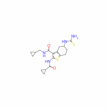 NC(=S)NC1CCc2sc(NC(=O)C3CC3)c(C(=O)NCC3CC3)c2C1